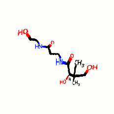 CC(C)(CO)[C@@H](O)C(=O)NCCC(=O)NCCO